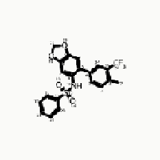 Cc1ccc(-c2cc3c(cc2NS(=O)(=O)c2ccccc2)OCO3)cc1C(F)(F)F